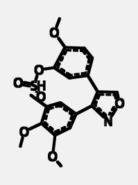 COc1ccc(-c2conc2-c2cc(C)c(OC)c(OC)c2)cc1O[SH](=O)=O